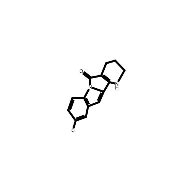 O=C1C2=C(NCCC2)c2cc3cc(Cl)ccc3n21